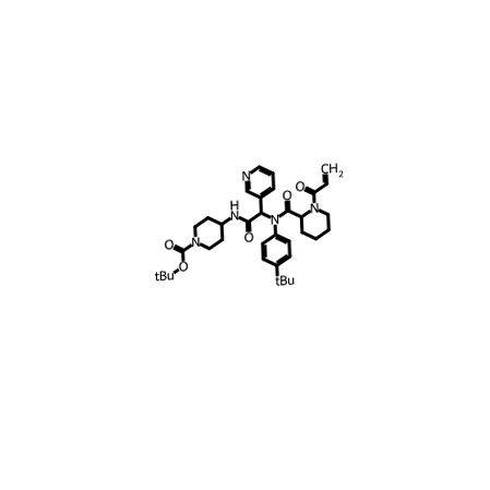 C=CC(=O)N1CCCCC1C(=O)N(c1ccc(C(C)(C)C)cc1)C(C(=O)NC1CCN(C(=O)OC(C)(C)C)CC1)c1cccnc1